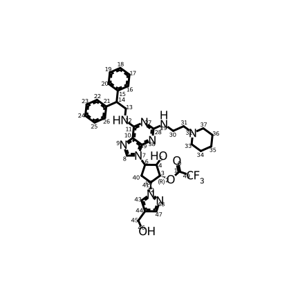 O=C(O[C@H]1C(O)C(n2cnc3c(NCC(c4ccccc4)c4ccccc4)nc(NCCN4CCCCC4)nc32)C[C@@H]1n1cc(CO)cn1)C(F)(F)F